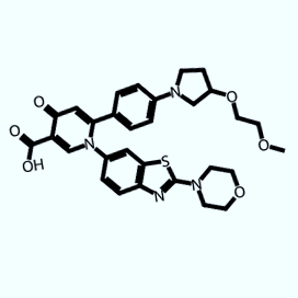 COCCOC1CCN(c2ccc(-c3cc(=O)c(C(=O)O)cn3-c3ccc4nc(N5CCOCC5)sc4c3)cc2)C1